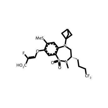 CSc1cc2c(cc1O/C=C(\F)C(=O)O)S(=O)(=O)N(C)[C@@H](CCCC(F)(F)F)CN2C12CC(C1)C2